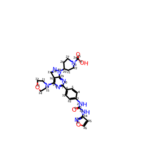 O=C(Nc1ccc(-c2nc(N3CCOCC3)c3cnn(C4CCN(C(=O)O)CC4)c3n2)cc1)Nc1ccon1